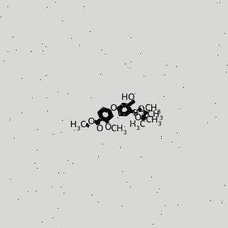 CCOC(=O)c1ccc(Oc2ccc(B3OC(C)(C)C(C)(C)O3)c(CO)c2)cc1OC